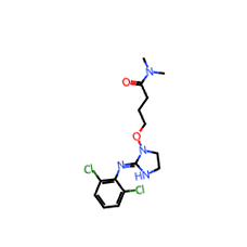 CN(C)C(=O)CCCON1CCN/C1=N\c1c(Cl)cccc1Cl